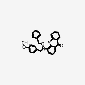 COc1ccc(CN(OCc2ccccc2)c2cccc3c(=O)c4ccccc4sc23)cc1